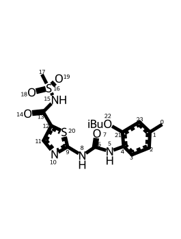 Cc1ccc(NC(=O)Nc2ncc(C(=O)NS(C)(=O)=O)s2)c(OCC(C)C)c1